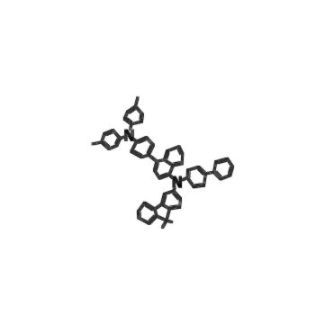 Cc1ccc(N(c2ccc(C)cc2)c2ccc(-c3ccc(N(c4ccc(-c5ccccc5)cc4)c4ccc5c(c4)-c4ccccc4C5(C)C)c4ccccc34)cc2)cc1